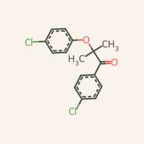 CC(C)(Oc1ccc(Cl)cc1)C(=O)c1ccc(Cl)cc1